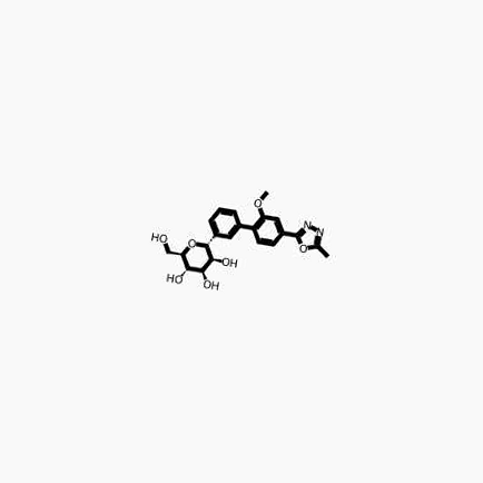 COc1cc(-c2nnc(C)o2)ccc1-c1cccc([C@H]2O[C@H](CO)[C@@H](O)[C@H](O)[C@@H]2O)c1